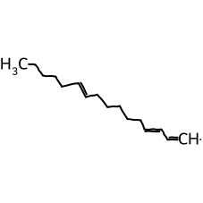 [CH]=CC=CCCCCCC=CCCCCC